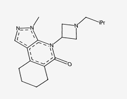 CC(C)CN1CC(n2c(=O)c3c(c4cnn(C)c42)CCCC3)C1